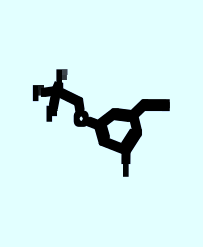 C=Cc1cc(I)cc(OCC(F)(F)F)c1